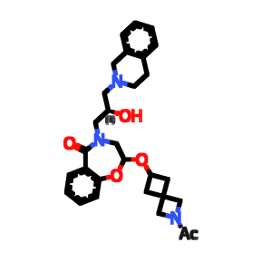 CC(=O)N1CC2(CC(OC3CN(C[C@H](O)CN4CCc5ccccc5C4)C(=O)c4ccccc4O3)C2)C1